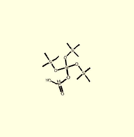 C[Si](C)(C)O[Si](O[PH](=O)O)(O[Si](C)(C)C)O[Si](C)(C)C